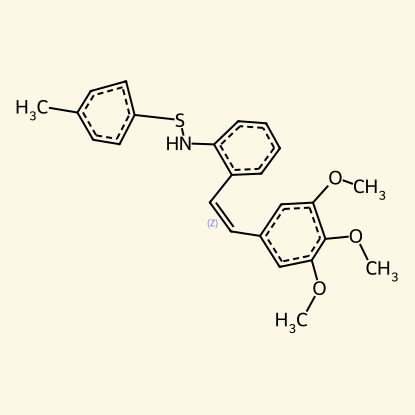 COc1cc(/C=C\c2ccccc2NSc2ccc(C)cc2)cc(OC)c1OC